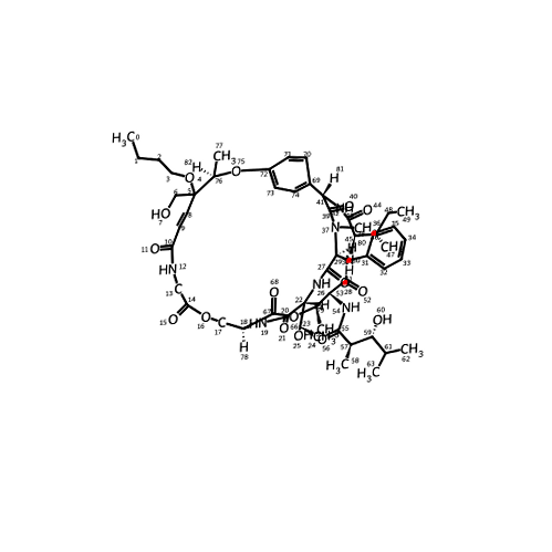 CCCCOC1(CO)/C=C/C(=O)NCC(=O)OC[C@@H]2NC(=O)[C@@H]([C@@H](C)O)NC(=O)[C@H](Cc3ccccc3)N(C)C(=O)[C@@H](NC(=O)[C@@H]([C@@H](C)CC)NC(=O)[C@@H](NC(=O)[C@H](C)[C@H](O)C(C)C)[C@@H](C)OC2=O)c2ccc(cc2)O[C@@H]1C